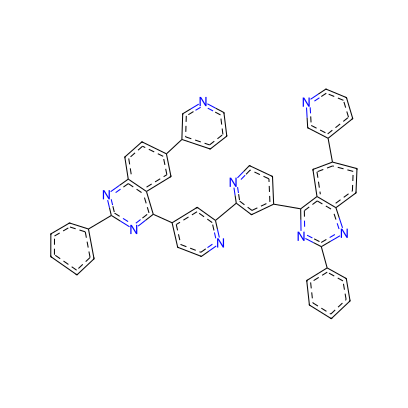 c1ccc(-c2nc(-c3ccnc(-c4cc(-c5nc(-c6ccccc6)nc6ccc(-c7cccnc7)cc56)ccn4)c3)c3cc(-c4cccnc4)ccc3n2)cc1